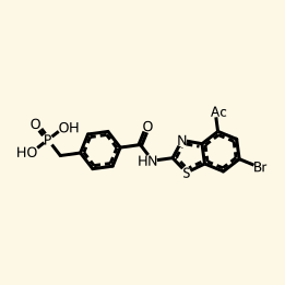 CC(=O)c1cc(Br)cc2sc(NC(=O)c3ccc(CP(=O)(O)O)cc3)nc12